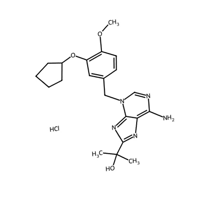 COc1ccc(Cn2cnc(N)c3nc(C(C)(C)O)nc2-3)cc1OC1CCCC1.Cl